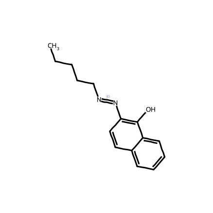 CCCCC/N=N/c1ccc2ccccc2c1O